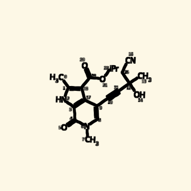 Cc1[nH]c2c(=O)n(C)cc(C#CC(C)(O)CC#N)c2c1C(=O)OC(C)C